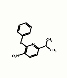 CN(C)c1ccc([N+](=O)[O-])c(Sc2ccccc2)n1